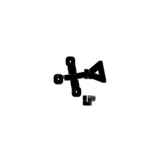 O=S(=O)([O-])N1CC1.[Li+]